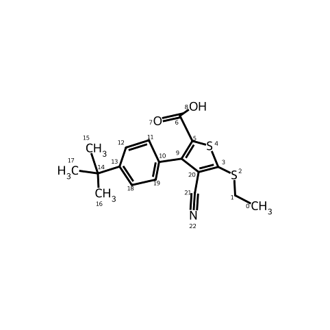 CCSc1sc(C(=O)O)c(-c2ccc(C(C)(C)C)cc2)c1C#N